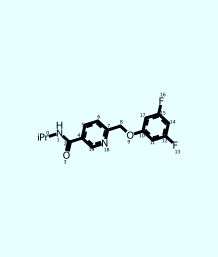 CC(C)NC(=O)c1ccc(COc2cc(F)cc(F)c2)nc1